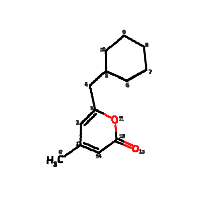 Cc1cc(CC2CCCCC2)oc(=O)c1